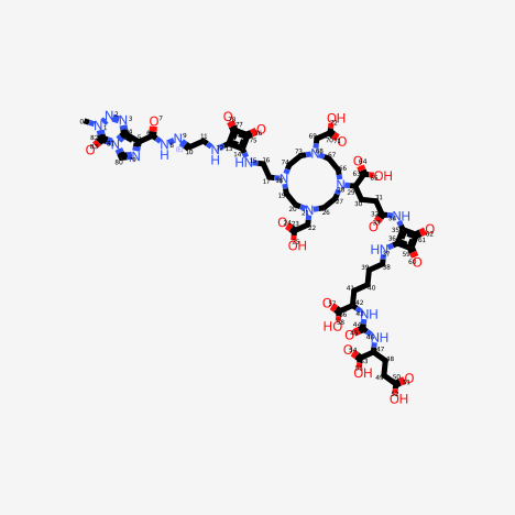 Cn1nnc2c(C(=O)N/N=C/CNc3c(NCCN4CCN(CC(=O)O)CCN(C(CCC(=O)Nc5c(NCCCCC(NC(=O)NC(CCC(=O)O)C(=O)O)C(=O)O)c(=O)c5=O)C(=O)O)CCN(CC(=O)O)CC4)c(=O)c3=O)ncn2c1=O